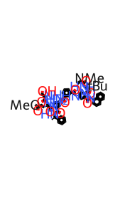 CN[C@@H](C)C(=O)NC(C(=O)N1C[C@@H](NC(=O)c2cccc(C(=O)N[C@H]3C[C@@H](C(=O)N[C@H](C)c4ccccc4)N(C(=O)[C@H](CCC(=O)OC)NC(=O)[C@@H](N)CO)C3)c2)C[C@H]1C(=O)N[C@@H]1CCCc2ccccc21)C(C)(C)C